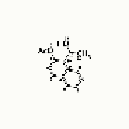 CC(=O)Oc1ccc2ccccc2c1C(C)O